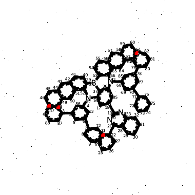 c1ccc(-c2cc(-c3ccccc3)cc(N3c4cc(-c5nc(-c6ccccc6)c6ccccc6n5)cc5c4B(c4ccc6cc7ccccc7cc6c43)c3ccc4cc6ccccc6cc4c3N5c3cc(-c4ccccc4)cc(-c4ccccc4)c3)c2)cc1